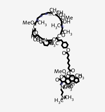 COC[C@H]1OC(=O)/C(=C/N(C)CCCN(C)C)C2=C(O)C(=O)C3=C([C@H](OC(=O)CCCCCCC(=O)OC4CCC(C[C@@H](C)[C@@H]5CC(=O)[C@H](C)/C=C(\C)[C@@H](O)[C@@H](OC)C(=O)[C@H](C)C[C@H](C)/C=C/C=C/C=C(\C)[C@@H](OC)C[C@@H]6CC[C@@H](C)[C@@](O)(O6)C(=O)C(=O)N6CCCC[C@H]6C(=O)O5)CC4)C[C@]4(C)C(=O)CC[C@@H]34)[C@]21C